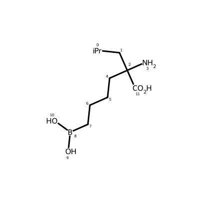 CC(C)CC(N)(CCCCB(O)O)C(=O)O